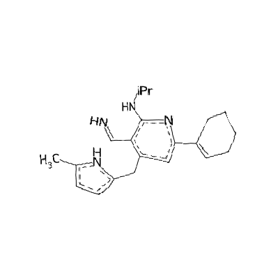 Cc1ccc(Cc2cc(C3=CCCCC3)nc(NC(C)C)c2C=N)[nH]1